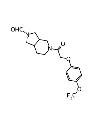 O=CN1CC2CCN(C(=O)COc3ccc(OC(F)(F)F)cc3)CC2C1